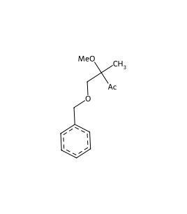 COC(C)(COCc1ccccc1)C(C)=O